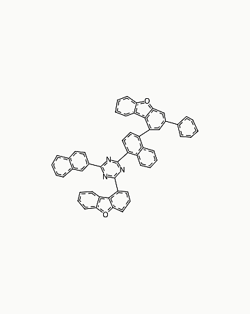 c1ccc(-c2cc(-c3ccc(-c4nc(-c5ccc6ccccc6c5)nc(-c5cccc6oc7ccccc7c56)n4)c4ccccc34)c3c(c2)oc2ccccc23)cc1